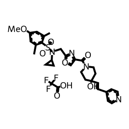 COc1cc(C)c(S(=O)(=O)N(Cc2nc(C(=O)N3CCC(O)(C=Cc4ccncc4)CC3)co2)C2CC2)c(C)c1.O=C(O)C(F)(F)F